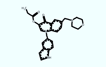 CCC(=O)Oc1cn(-c2ccc3[nH]ccc3c2)c2ccc(CN3CCOCC3)cc2c1=O